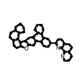 c1ccc2c(c1)ccc1ccc3oc4cc5c6ccc(-c7ccc8ccc9cccnc9c8n7)cc6c6ccccc6c5cc4c3c12